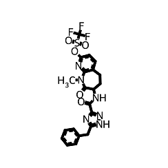 CN1C(=O)C(NC(=O)c2n[nH]c(Cc3ccccc3)n2)CCc2ccc(OS(=O)(=O)C(F)(F)F)nc21